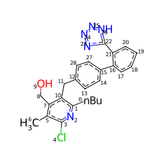 CCCCc1nc(Cl)c(C)c(CO)c1Cc1ccc(-c2ccccc2-c2nnn[nH]2)cc1